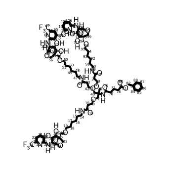 O=C(CCOCC(COCCC(=O)NCCCCCCOC[C@@]12CO[C@@H](O1)[C@H](Nc1cccc(C(F)(F)F)n1)[C@@H](O)[C@H]2O)(COCCC(=O)NCCCCCCOC[C@@]12CO[C@@H](O1)[C@H](Nc1cccc(C(F)(F)F)n1)[C@@H](O)[C@H]2O)NC(=O)CCCC(=O)OCc1ccccc1)NCCCCCCOC[C@@]12CO[C@@H](O1)[C@H](Nc1cccc(C(F)(F)F)n1)[C@@H](O)[C@H]2O